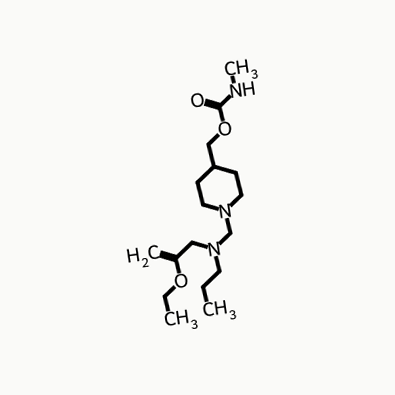 C=C(CN(CCC)CN1CCC(COC(=O)NC)CC1)OCC